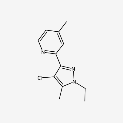 CCn1nc(-c2cc(C)ccn2)c(Cl)c1C